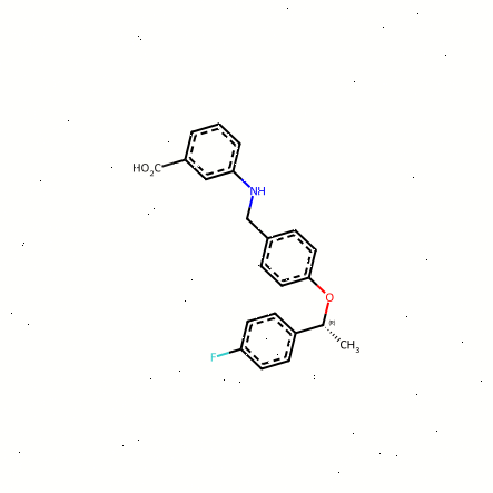 C[C@@H](Oc1ccc(CNc2cccc(C(=O)O)c2)cc1)c1ccc(F)cc1